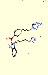 O=C(c1nc2ccccc2n1CCCCn1cnnn1)C1CCN(CCCCn2cnnn2)CC1